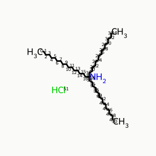 CCCCCCCCCCCCCCCCCC(N)(CCCCCCCCCCCCCCCC)CCCCCCCCCCCCCCCC.Cl